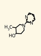 CC1CN(c2ncccn2)CCC1O